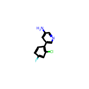 Nc1cncc(-c2ccc(F)cc2Cl)c1